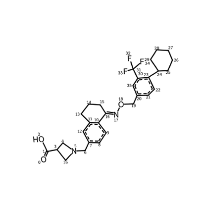 O=C(O)C1CN(Cc2ccc3c(c2)CCCC3=NOCc2ccc(C3CCCCC3)c(C(F)(F)F)c2)C1